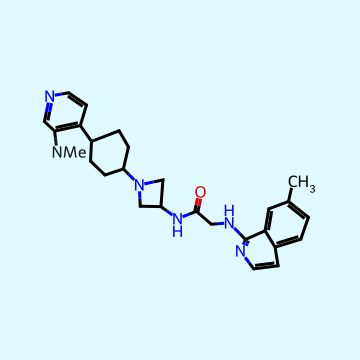 CNc1cnccc1C1CCC(N2CC(NC(=O)CNc3nccc4ccc(C)cc34)C2)CC1